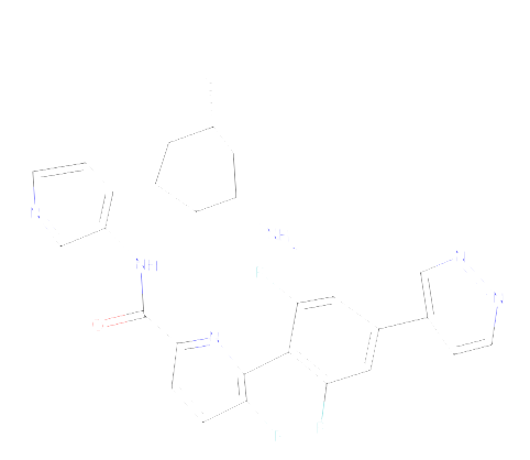 C[C@@H]1C[C@H](N)C[C@H](c2ccncc2NC(=O)c2ccc(F)c(-c3c(F)cc(-c4ccnnc4)cc3F)n2)C1